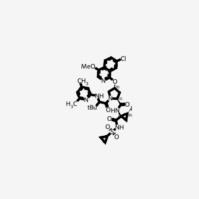 COc1cnc(O[C@@H]2C[C@@H](C(=O)N[C@]3(C(=O)NS(=O)(=O)C4CC4)C[C@H]3I)N(C(=O)C(Nc3cc(C)cc(C)n3)C(C)(C)C)C2)c2cc(Cl)ccc12